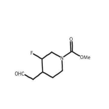 COC(=O)N1CCC(CC=O)C(F)C1